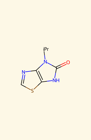 CC(C)n1c(=O)[nH]c2scnc21